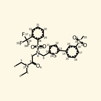 CCN(CC)C(=O)CN(Cc1ccc(-c2cccc(S(C)(=O)=O)c2)s1)S(=O)(=O)c1ccccc1C(F)(F)F